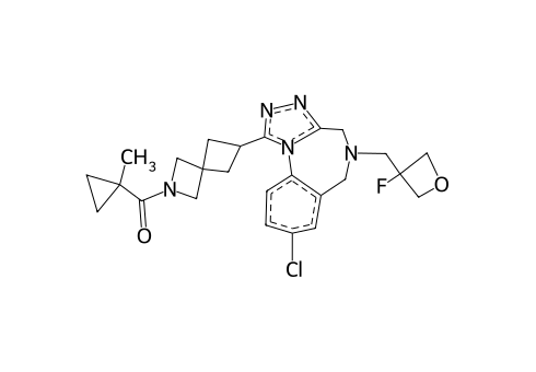 CC1(C(=O)N2CC3(CC(c4nnc5n4-c4ccc(Cl)cc4CN(CC4(F)COC4)C5)C3)C2)CC1